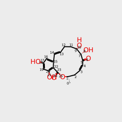 C[C@H]1C/C=C\C(=O)[C@@H](O)[C@@H](O)CC/C=C/c2cc(O)cc(O)c2C(=O)O1